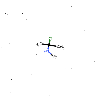 CC(C)NC(C)(C)Cl